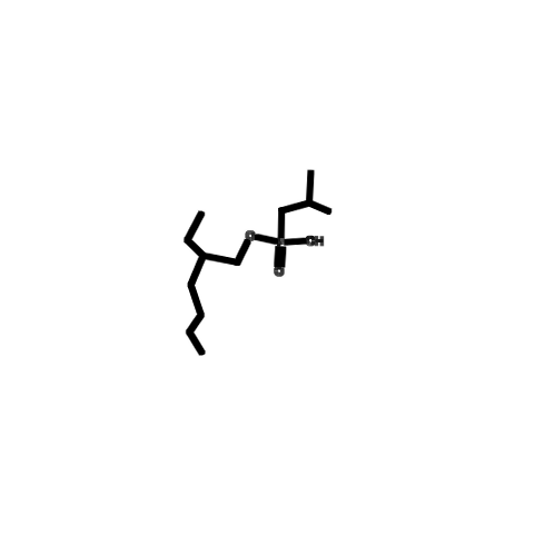 CCCCC(CC)COP(=O)(O)CC(C)C